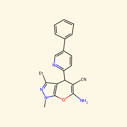 CCc1nn(C)c2c1C(c1ccc(-c3ccccc3)cn1)C(C#N)=C(N)O2